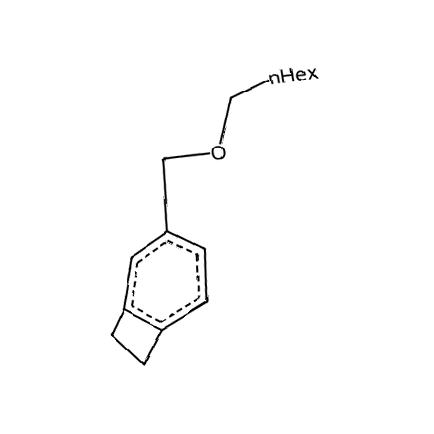 CCCCCCCOCc1ccc2c(c1)CC2